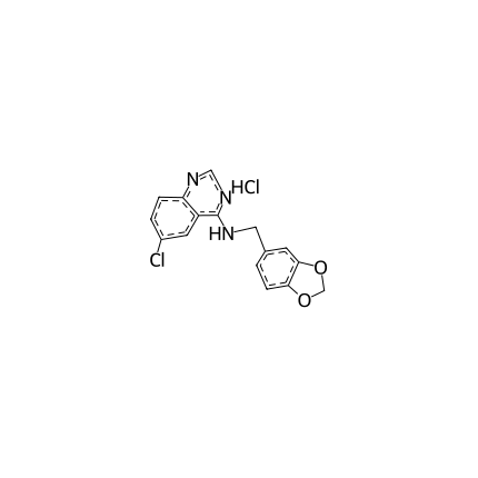 Cl.Clc1ccc2ncnc(NCc3ccc4c(c3)OCO4)c2c1